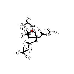 CC(C)NC(=O)CC(CC(=O)NC(C)C)(CC(=O)NC(C)(C)C)CC(C)(C)C